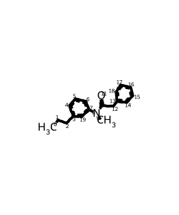 CCCc1cccc(N(C)C(=O)Cc2ccccc2)c1